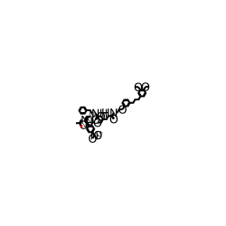 COc1ccc(CCCc2cccc(OCCNC(=O)CCC(CO)OC(=O)N[C@H](CCN(CC(C)C)S(=O)(=O)c3ccc([N+](=O)[O-])cc3)Cc3ccccc3)c2)cc1OC